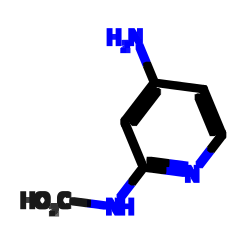 Nc1ccnc(NC(=O)O)c1